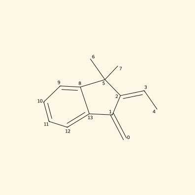 C=C1/C(=C\C)C(C)(C)c2ccccc21